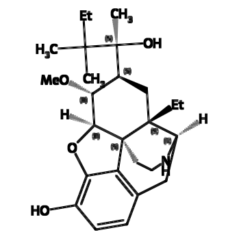 CCC(C)(C)[C@@](C)(O)[C@H]1C[C@]2(CC)[C@H]3Cc4ccc(O)c5c4[C@@]2(CCN3)[C@@H](O5)[C@@H]1OC